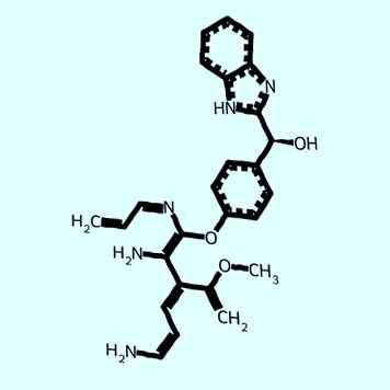 C=C\C=N/C(Oc1ccc([C@H](O)c2nc3ccccc3[nH]2)cc1)=C(N)/C(=C/C=C\N)C(=C)OC